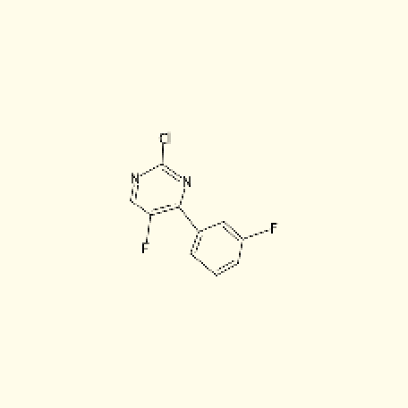 Fc1cccc(-c2nc(Cl)ncc2F)c1